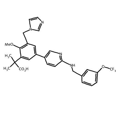 COc1c(Cn2ccnc2)cc(-c2ccc(NCc3cccc(OC(F)(F)F)c3)nc2)cc1C(C)(C)C(=O)O